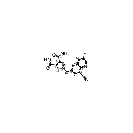 Cc1cnc2c(C#N)cc(Cn3cc(C(=O)O)c(C(N)=O)n3)cc2c1